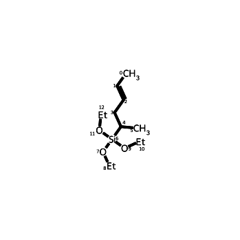 CC=CCC(C)[Si](OCC)(OCC)OCC